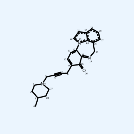 CC1CCN(CC#CCC2=CC=C3C(=NCc4cccc5ccn3c45)C2=O)CC1